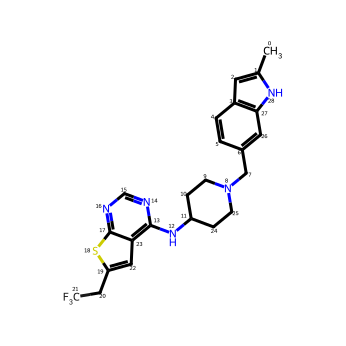 Cc1cc2ccc(CN3CCC(Nc4ncnc5sc(CC(F)(F)F)cc45)CC3)cc2[nH]1